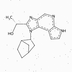 C[C@@H](O)c1nc2cnc3[nH]ccc3c2n1C1CC2CCC1C2